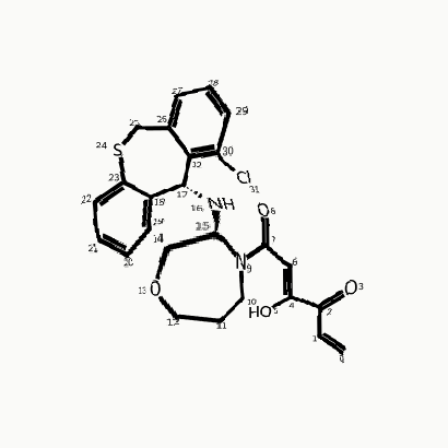 C=CC(=O)/C(O)=C/C(=O)N1CCCOC[C@H]1N[C@@H]1c2ccccc2SCc2cccc(Cl)c21